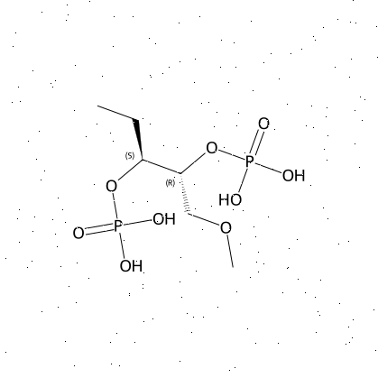 CC[C@H](OP(=O)(O)O)[C@@H](COC)OP(=O)(O)O